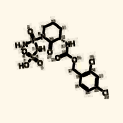 N[P@](=O)(NS(=O)(=O)O)N1CCC[C@H](NC(=O)OCc2ccc(Cl)cc2Cl)C1=O